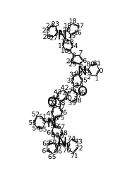 c1ccc(N(c2ccc(-c3ccc4c(c3)c3ccccc3n4-c3ccccc3)cc2)c2ccc3c(c2)oc2ccc4c(ccc5oc6cc(N(c7ccccc7)c7ccc8c(c7)c7ccccc7n8-c7ccccc7)ccc6c54)c23)cc1